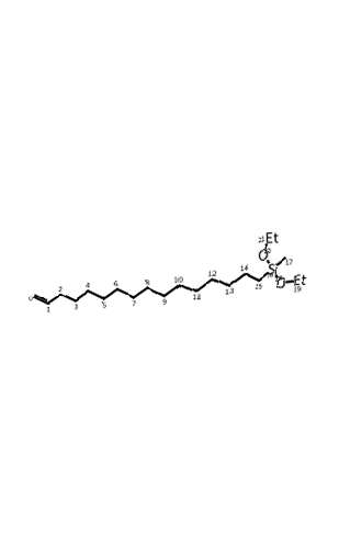 C=CCCCCCCCCCCCCCC[Si](C)(OCC)OCC